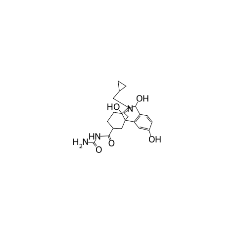 NC(=O)NC(=O)C1CCC2(O)C3C(O)c4ccc(O)cc4C2(CCN3CC2CC2)C1